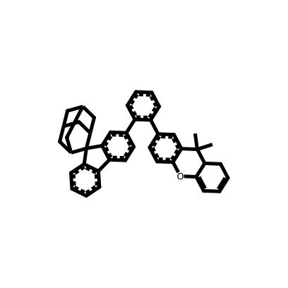 CC1(C)c2cc(-c3ccccc3-c3ccc4c(c3)C3(c5ccccc5-4)C4CC5CC(C4)CC3C5)ccc2OC2=CC=CCC21